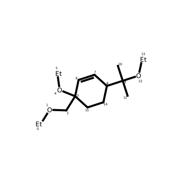 CCOCC1(OCC)C=CC(C(C)(C)OCC)CC1